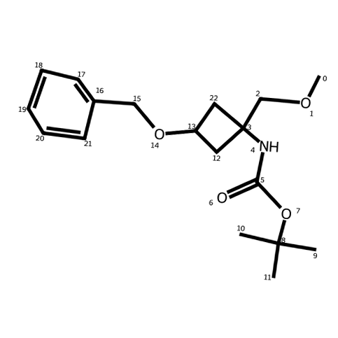 COCC1(NC(=O)OC(C)(C)C)CC(OCc2ccccc2)C1